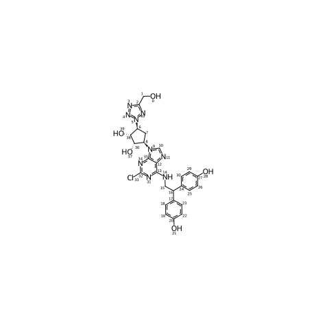 OCc1nnn([C@H]2C[C@@H](n3cnc4c(NCC(c5ccc(O)cc5)c5ccc(O)cc5)nc(Cl)nc43)[C@H](O)[C@@H]2O)n1